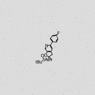 CC1(N[S+]([O-])C(C)(C)C)Cc2cc(-c3ccc(F)cc3)ncc2O1